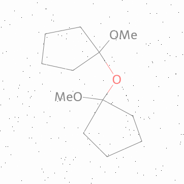 COC1(OC2(OC)CCCC2)CCCC1